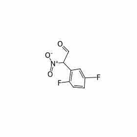 O=CC(c1cc(F)ccc1F)[N+](=O)[O-]